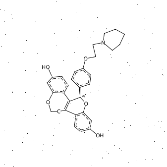 Oc1ccc2c(c1)O[C@H](c1ccc(OCCN3CCCCC3)cc1)C1=C2CCOc2cc(O)ccc21